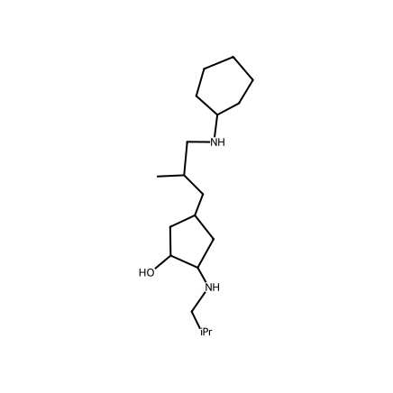 CC(C)CNC1CC(CC(C)CNC2CCCCC2)CC1O